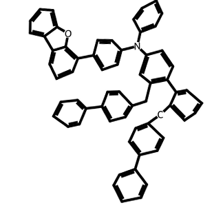 c1ccc(-c2ccc(Cc3ccccc3-c3ccc(N(c4ccccc4)c4ccc(-c5cccc6c5oc5ccccc56)cc4)cc3Cc3ccc(-c4ccccc4)cc3)cc2)cc1